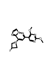 COc1ncc(-c2cc(N3CC(F)C3)c3nccn3n2)c(OC)n1